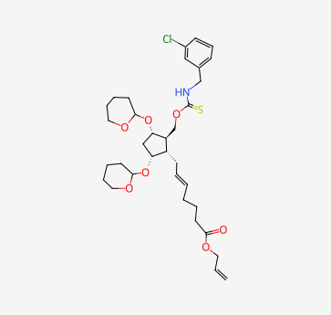 C=CCOC(=O)CCCC=CC[C@H]1[C@H](COC(=S)NCc2cccc(Cl)c2)[C@@H](OC2CCCCO2)C[C@H]1OC1CCCCO1